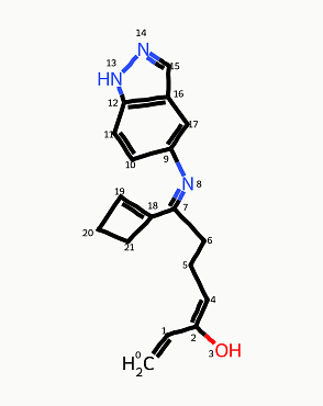 C=C/C(O)=C\CC/C(=N/c1ccc2[nH]ncc2c1)C1=CCC1